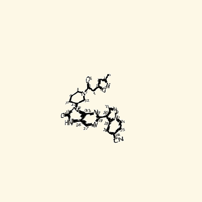 Cc1cc(CC(=O)N2CCCC(n3c(=O)[nH]c4cnc(-c5cnn6ccc(C#N)cc56)nc43)C2)on1